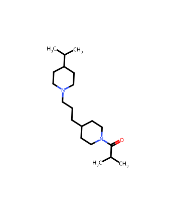 CC(C)C(=O)N1CCC(CCCN2CCC(C(C)C)CC2)CC1